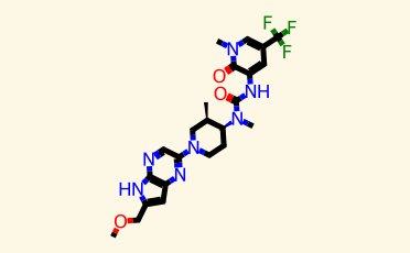 COCc1cc2nc(N3CC[C@H](N(C)C(=O)Nc4cc(C(F)(F)F)cn(C)c4=O)[C@H](C)C3)cnc2[nH]1